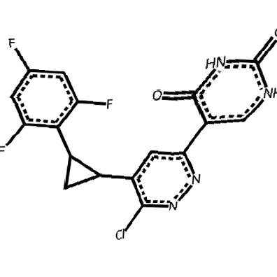 O=c1[nH]cc(-c2cc(C3CC3c3c(F)cc(F)cc3F)c(Cl)nn2)c(=O)[nH]1